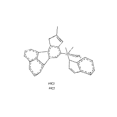 CC1=Cc2[c]([Zr]([CH3])([CH3])(=[SiH2])[CH]3C=Cc4ccccc43)cc3c(c2C1)-c1cccc2cccc-3c12.Cl.Cl